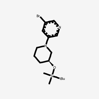 CC(C)(C)[Si](C)(C)O[C@H]1CCCN(c2cncc(Br)c2)C1